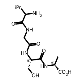 CC(C)C(N)C(=O)NCC(=O)N[C@@H](CO)C(=O)N[C@@H](C)C(=O)O